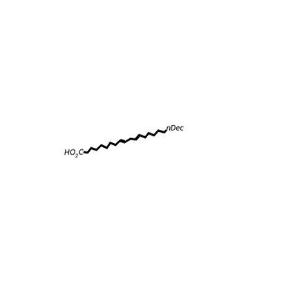 CCCCCCCCCCCCCCCC=CCC=CCCCCCCCC(=O)O